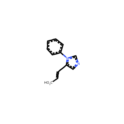 O=C(O)C=Cc1cncn1-c1ccccc1